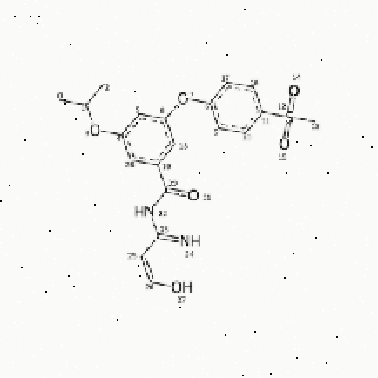 CC(C)Oc1cc(Oc2ccc(S(C)(=O)=O)cc2)cc(C(=O)NC(=N)/C=C\O)c1